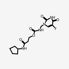 O=C(CCOC(=O)NCn1cc(F)c(=O)[nH]c1=O)NC1CCCC1